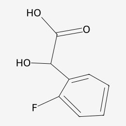 O=C(O)C(O)c1ccccc1F